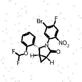 O=C1[C@@H]2C[C@@H]2[C@H](c2ccccc2OC(F)F)N1c1cc(Br)c(F)cc1[N+](=O)[O-]